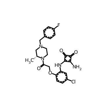 C[C@@H]1CN(Cc2ccc(F)cc2)CCN1C(=O)COc1ccc(Cl)cc1Nc1c(N)c(=O)c1=O